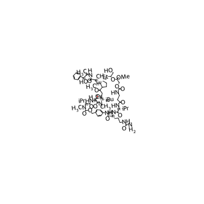 CCC(CO)OC(COC(=O)NCCC(=O)N[C@@H](C(=O)N[C@H](CCCNC(N)=O)C(=O)Nc1ccc(COC(=O)N(C)[C@H](C(=O)N[C@H](C(=O)N(C)[C@H]([C@H](C)CC(=O)C2CCC[C@H]2[C@H](C)[C@@H](C)C(=O)N[C@H](C)[C@@H](O)c2ccccc2)[C@@H](C)CC)C(C)C)C(C)C)cc1)C(C)C)OC